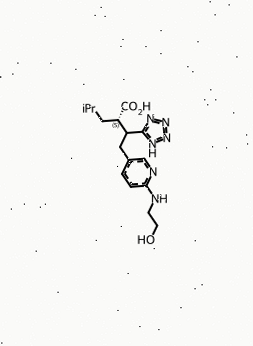 CC(C)C[C@H](C(=O)O)C(Cc1ccc(NCCO)nc1)c1nnn[nH]1